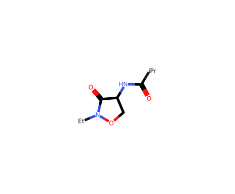 CCN1OCC(NC(=O)C(C)C)C1=O